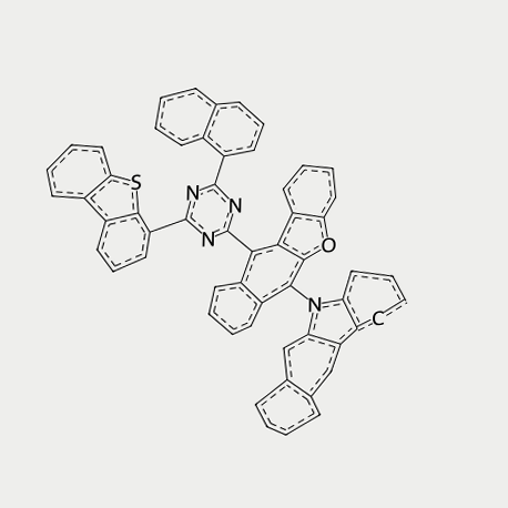 c1ccc2cc3c(cc2c1)c1ccccc1n3-c1c2ccccc2c(-c2nc(-c3cccc4ccccc34)nc(-c3cccc4c3sc3ccccc34)n2)c2c1oc1ccccc12